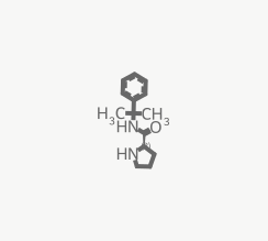 CC(C)(NC(=O)[C@H]1CCCN1)c1ccccc1